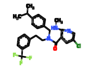 CNc1ncc(Cl)cc1C(=O)N(CCc1cccc(C(F)(F)F)c1)Cc1ccc(C(C)C)cc1